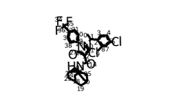 CC(c1ccc(Cl)cc1Cl)n1cc(C(=O)NC23CC4CC(CC(C4)C2)C3)c(=O)n1-c1ccc(C(F)(F)F)cc1